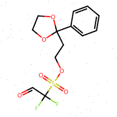 O=CC(F)(F)S(=O)(=O)OCCC1(c2ccccc2)OCCO1